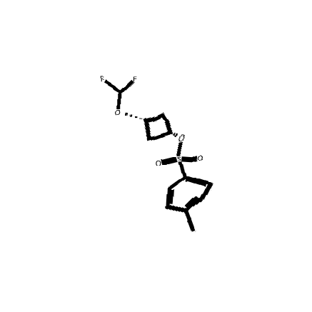 Cc1ccc(S(=O)(=O)O[C@H]2C[C@@H](OC(F)F)C2)cc1